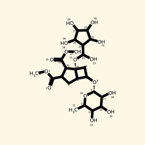 COC(=O)C1CC2C(O[C@H]3OC(C)C(O)C(O)C3O)C[C@]2(OC(O)C2C(O)C(O)C(O)C2O)C1C(=O)OC